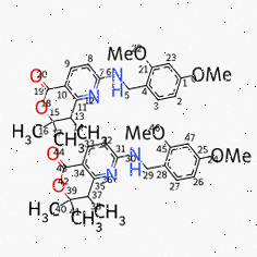 COc1ccc(CNc2ccc3c(n2)C(C)C(C)(C)OC3=O)c(OC)c1.COc1ccc(CNc2ccc3c(n2)C(C)C(C)(C)OC3=O)c(OC)c1